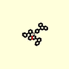 c1ccc(-c2cccc(N(c3ccc(-c4cc5ccccc5c5ccccc45)cc3)c3cccc(-c4cccc5ccccc45)c3)c2-c2ccccc2)cc1